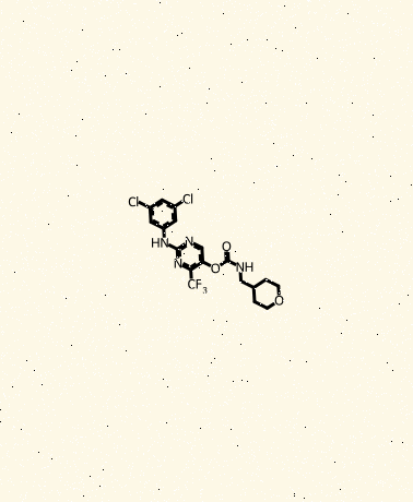 O=C(NCC1CCOCC1)Oc1cnc(Nc2cc(Cl)cc(Cl)c2)nc1C(F)(F)F